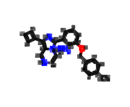 N#Cc1ccc(COc2cccc(C3=NC(C4=CC=C4)=C4C=NC=C[N+]34N)c2)cc1